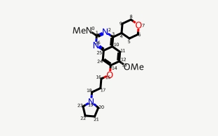 CNc1nc(C2CCOCC2)c2cc(OC)c(OCCCN3CCCC3)cc2n1